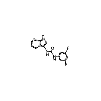 O=C(Nc1cc(F)cc(F)c1)Nc1c[nH]c2ncccc12